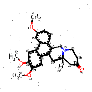 COc1ccc2c3c(c4cc(OC)c(OC)cc4c2c1)C[C@H]1CC(=O)CCN1C3